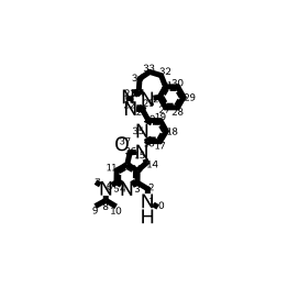 CNCc1nc(N(C)C(C)C)cc2c1CN(c1cccc(-c3nnc4n3-c3ccccc3CCC4)n1)C2=O